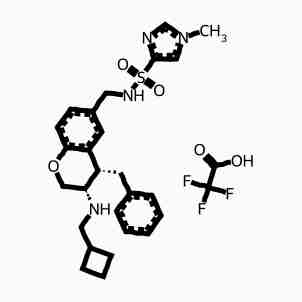 Cn1cnc(S(=O)(=O)NCc2ccc3c(c2)[C@H](Cc2ccccc2)[C@H](NCC2CCC2)CO3)c1.O=C(O)C(F)(F)F